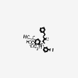 Cc1c(C(=O)O)cccc1C(=O)O.O=C(CCNc1cccc(Cl)c1)CCc1ccccc1